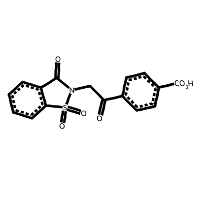 O=C(O)c1ccc(C(=O)CN2C(=O)c3ccccc3S2(=O)=O)cc1